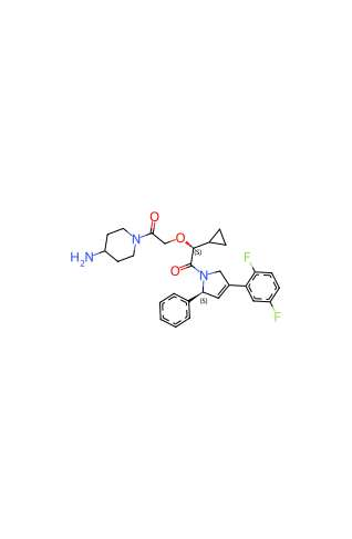 NC1CCN(C(=O)CO[C@H](C(=O)N2CC(c3cc(F)ccc3F)=C[C@H]2c2ccccc2)C2CC2)CC1